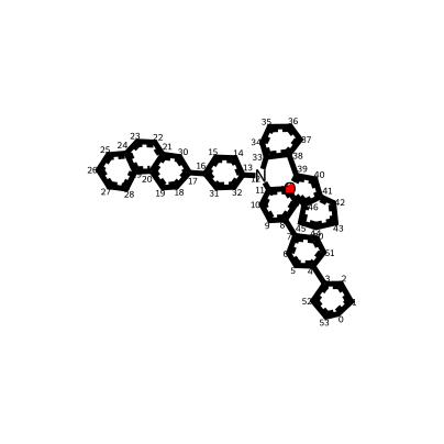 c1ccc(-c2ccc(-c3ccc(N(c4ccc(-c5ccc6c(ccc7ccccc76)c5)cc4)c4ccccc4-c4cc5ccccc5o4)cc3)cc2)cc1